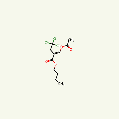 CCCCOC(=O)C(=COC(C)=O)CC(Cl)(Cl)Cl